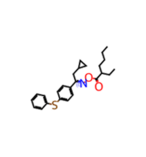 CCCCC(CC)C(=O)O/N=C(\CC1CC1)c1ccc(Sc2ccccc2)cc1